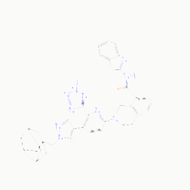 Cc1c(-c2ccc(N3CCc4cccc(C(=O)Nc5nc6ccccc6s5)c4C3)nc2-c2nn[nH]n2)cnn1CC12CC3CC(CC(C3)C1)C2